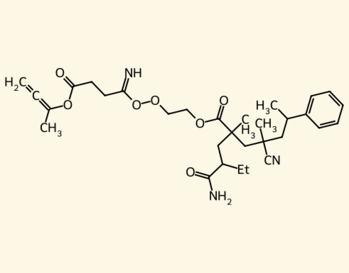 C=C=C(C)OC(=O)CCC(=N)OOCCOC(=O)C(C)(CC(CC)C(N)=O)CC(C)(C#N)CC(C)c1ccccc1